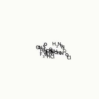 CC1(CN2CCC(N)CC2)CCC(c2ccc(Cl)cc2)=C(CN2CCN(c3ccc(C(=O)NS(=O)(=O)c4ccc(N[C@H](CCN5CCOCC5)CSc5ccccc5)c(S(=O)(=O)C(F)(F)F)c4)cc3)CC2)C1.Cl